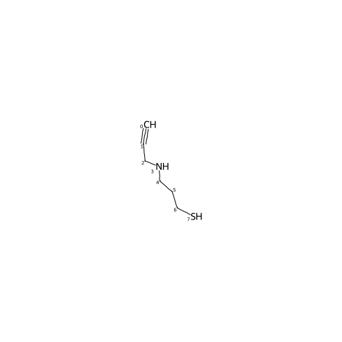 C#CCNCCCS